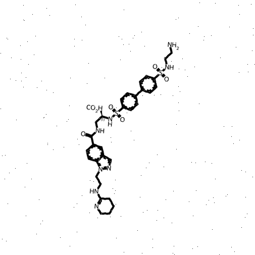 NCCNS(=O)(=O)c1ccc(-c2ccc(S(=O)(=O)N[C@@H](CNC(=O)c3ccc4c(cnn4CCNC4=NCCCC4)c3)C(=O)O)cc2)cc1